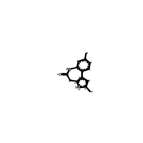 Cc1ccc2c(c1)NC(=O)Cc1[nH]c(C)cc1-2